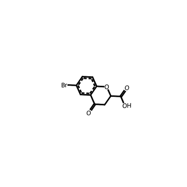 O=C1CC(C(=O)O)Oc2ccc(Br)cc21